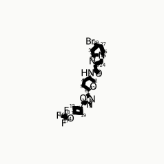 O=C(N[C@@H]1CC[C@@H](c2nnc([C@H]3C[C@@H](OC(F)(F)F)C3)o2)OC1)c1cn2ccc(Br)cc2n1